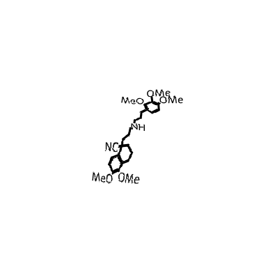 COc1ccc2c(c1OC)CCCC2(C#N)CCCNCCCc1ccc(OC)c(OC)c1OC